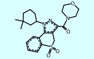 CC1(C)CCCC(n2nc(C(=O)N3CCOCC3)c3c2-c2ccccc2S(=O)(=O)C3)C1